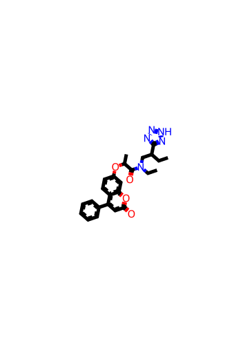 CCC(CN(CC)C(=O)C(C)Oc1ccc2c(-c3ccccc3)cc(=O)oc2c1)c1nn[nH]n1